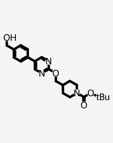 CC(C)(C)OC(=O)N1CCC(COc2ncc(-c3ccc(CO)cc3)cn2)CC1